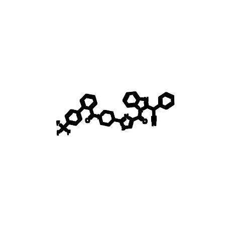 N#CC(c1ccccc1)c1nc2ccccc2n1C(=O)c1csc(C2CCN(C(=O)c3ccccc3-c3ccc(C(F)(F)F)cc3)CC2)n1